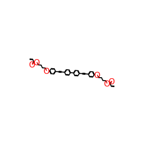 C=CC(=O)OCCCCOc1ccc(C#Cc2ccc(-c3ccc(C#Cc4ccc(OCCCCOC(=O)C=C)cc4)cc3)cc2)cc1